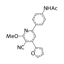 COc1nc(-c2ccc(NC(C)=O)cc2)cc(-c2ccco2)c1C#N